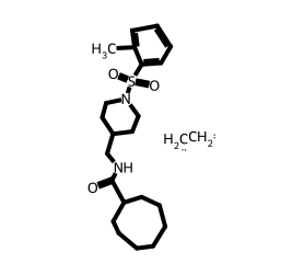 Cc1ccccc1S(=O)(=O)N1CCC(CNC(=O)[C]2CCCCCCC2)CC1.[CH2].[CH2]